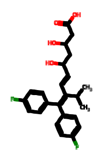 CC(C)C(/C=C/C(O)CC(O)CC(=O)O)=C(c1ccc(F)cc1)c1ccc(F)cc1